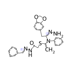 C=C(SCC(=O)N/N=C/c1ccccc1)N(/C(Cc1ccc2c(c1)OCO2)=N\N)c1ccccc1